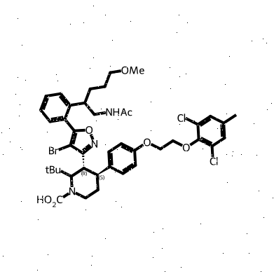 COCCCC(CNC(C)=O)c1ccccc1-c1onc([C@H]2C(C(C)(C)C)N(C(=O)O)CC[C@@H]2c2ccc(OCCOc3c(Cl)cc(C)cc3Cl)cc2)c1Br